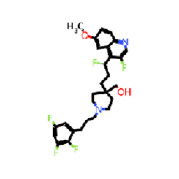 COc1ccc2ncc(F)c([C@H](F)CCC3(CO)CCN(CCCc4cc(F)cc(F)c4F)CC3)c2c1